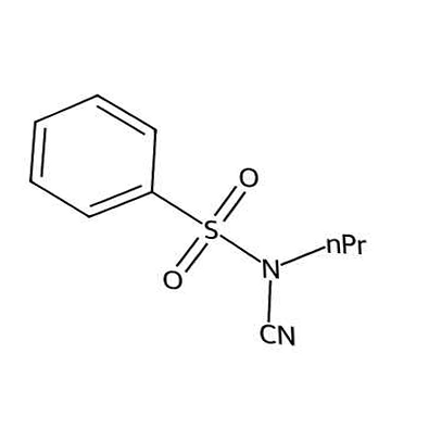 CCCN(C#N)S(=O)(=O)c1ccccc1